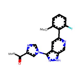 CNC(=O)c1cn(-c2n[nH]c3cnc(-c4c(F)cccc4OC)cc23)cn1